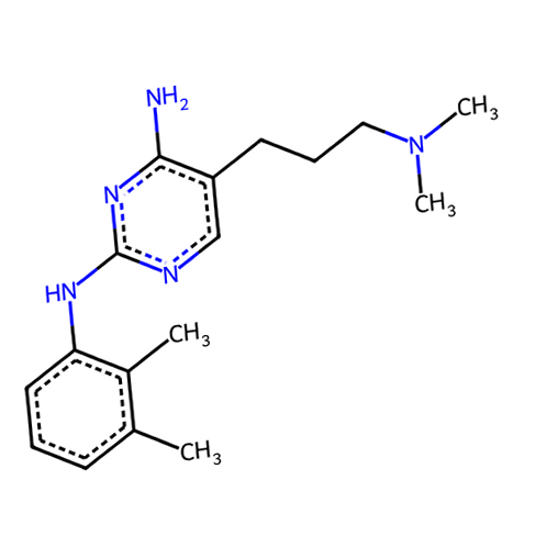 Cc1cccc(Nc2ncc(CCCN(C)C)c(N)n2)c1C